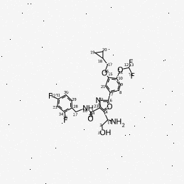 N[C@@H](CO)c1oc(-c2ccc(OC(F)F)c(OCC3CC3)c2)nc1C(=O)NCc1ccc(F)cc1F